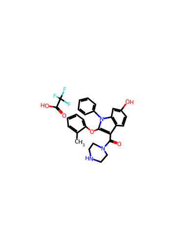 Cc1ccccc1Oc1c(C(=O)N2CCNCC2)c2ccc(O)cc2n1-c1ccccc1.O=C(O)C(F)(F)F